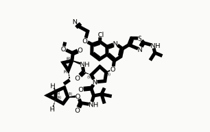 CC[C@@H]1C[C@]1(NC(=O)[C@@H]1C[C@H](Oc2cc(-c3csc(NC(C)C)n3)nc3c(Cl)c(OCC#N)ccc23)CN1C(=O)C(NC(=O)O[C@@H]1C[C@@H]2C[C@@H]2C1)C(C)(C)C)C(=O)OC